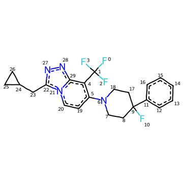 FC(F)(F)c1c(N2CCC(F)(c3ccccc3)CC2)ccn2c(CC3CC3)nnc12